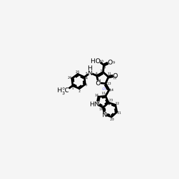 Cc1ccc(NC2=C(C(=O)O)C(=O)/C(=C/c3c[nH]c4ncccc34)O2)cc1